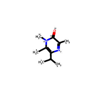 Cc1nc(C(C)C)c(C)n(C)c1=O